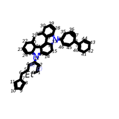 CC/C=C\C(=C/CCC1C=CC=C1)N1C2=CCC3C(=C2C2C(C)CC=CC21)C1=C(C=CCC1C)N3C1=CC#CC(C2=CCCC=C2)C=C1